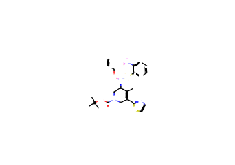 C=CCON(C1CN(C(=O)OC(C)(C)C)CC(c2nccs2)=C1C)S(=O)(=O)c1ccccc1[N+](=O)[O-]